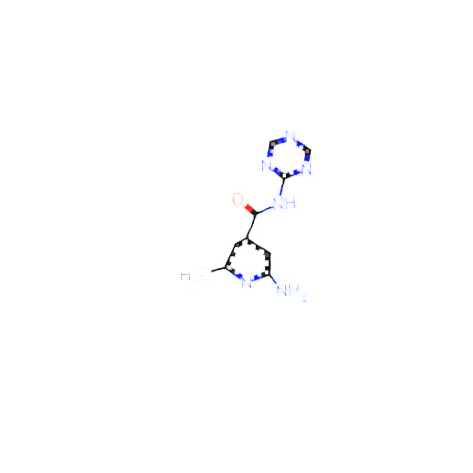 Cc1cc(C(=O)Nc2ncncn2)cc(N)n1